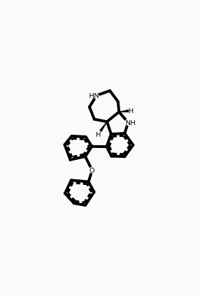 c1ccc(Oc2ccccc2-c2cccc3c2[C@@H]2CCNCC[C@@H]2N3)cc1